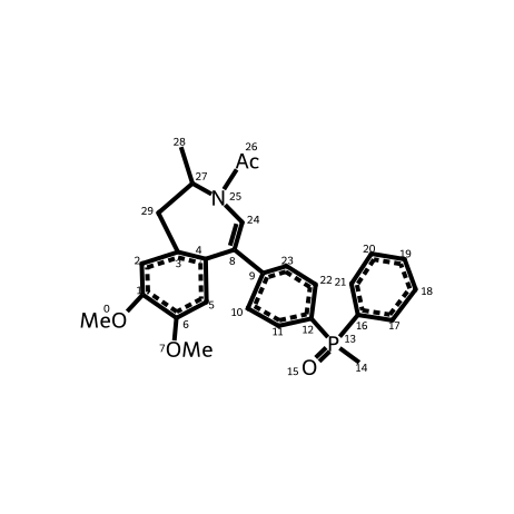 COc1cc2c(cc1OC)C(c1ccc(P(C)(=O)c3ccccc3)cc1)=CN(C(C)=O)C(C)C2